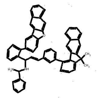 CC1(C)c2cc3ccccc3cc2-c2c(-c3cccc(/C=C/C(NC(N)c4ccccc4)c4ccccc4-c4ccc5oc6cc7ccccc7cc6c5c4)c3)cccc21